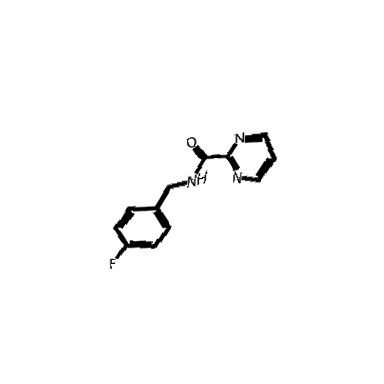 O=C(NCc1ccc(F)cc1)c1ncccn1